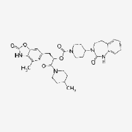 Cc1cc(C[C@@H](OC(=O)N2CCC(N3CCc4ccccc4NC3=O)CC2)C(=O)N2CCC(C)CC2)cc2oc(=O)[nH]c12